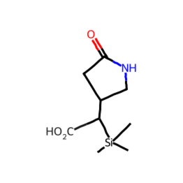 C[Si](C)(C)C(C(=O)O)C1CNC(=O)C1